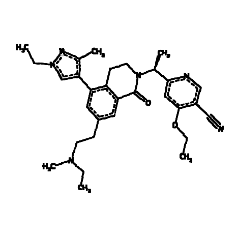 CCOc1cc([C@H](C)N2CCc3c(cc(CCN(C)CC)cc3-c3cn(CC)nc3C)C2=O)ncc1C#N